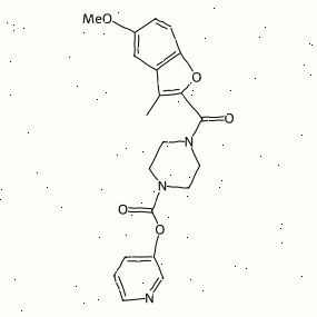 COc1ccc2oc(C(=O)N3CCN(C(=O)Oc4cccnc4)CC3)c(C)c2c1